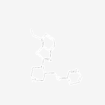 CCc1cccc2nc(N3CCNCC3COc3cccnc3)oc12